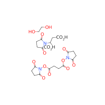 O=C(CCC(=O)ON1C(=O)CCC1=O)ON1C(=O)CCC1=O.O=C(O)CC(C(=O)O)N1C(=O)CCC1=O.OCCO